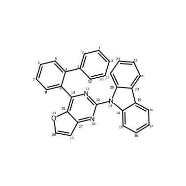 c1ccc(-c2ccccc2-c2nc(-n3c4ccccc4c4ccccc43)nc3ccoc23)cc1